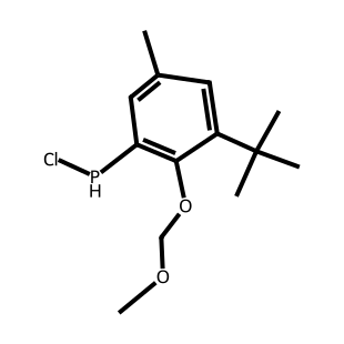 COCOc1c(PCl)cc(C)cc1C(C)(C)C